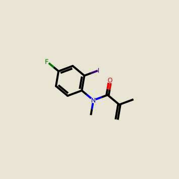 C=C(C)C(=O)N(C)c1ccc(F)cc1I